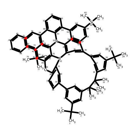 CC(C)(C)c1cc2cc(c1)C(C)(C)C(C)(C)c1cc(cc(C(C)(C)C)c1)-c1ccc3c(c1)B1c4cc-2ccc4Oc2cc(-c4ccccc4)cc(c21)N3c1c(-c2cccc([Si](C)(C)C)c2)cccc1-c1cccc([Si](C)(C)C)c1